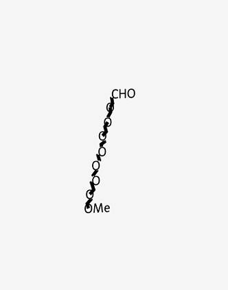 COCCOCCOCCOCCOCCOCCOCCOCCC=O